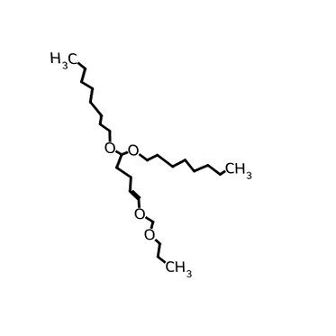 CCCCCCCCOC(CCC=COCOCCC)OCCCCCCCC